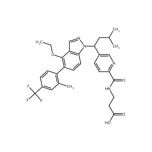 CCOc1c(-c2ccc(C(F)(F)F)cc2C)ccc2c1cnn2C(CC(C)C)c1ccc(C(=O)NCCC(=O)O)nc1